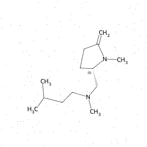 C=C1CC[C@@H](CN(C)CCC(C)C)N1C